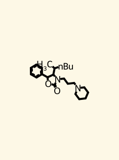 CCCCC(C)C1C(c2ccccc2)OC(=O)N1CCCN1CCCCC1